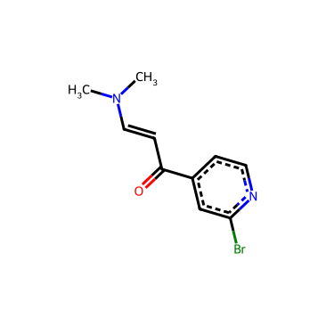 CN(C)C=CC(=O)c1ccnc(Br)c1